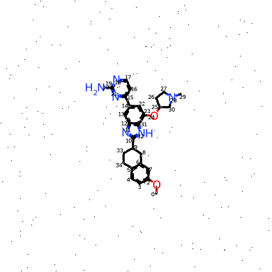 COc1ccc2c(c1)CC(c1nc3cc(-c4ccnc(N)n4)cc(OC4CCN(C)C4)c3[nH]1)CC2